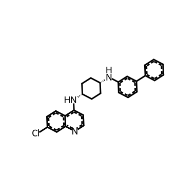 Clc1ccc2c(N[C@H]3CC[C@@H](Nc4cccc(-c5ccccc5)c4)CC3)ccnc2c1